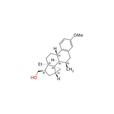 CC[C@]12CC[C@@H]3c4ccc(OC)cc4C[C@@H](C)[C@H]3[C@]13C[C@@H]3C[C@H]2CO